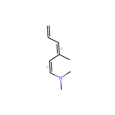 C=C/C=C(C)\C=C/N(C)C